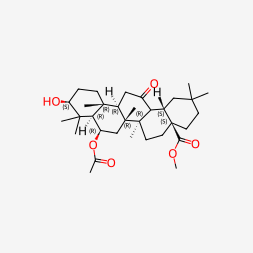 COC(=O)[C@]12CCC(C)(C)C[C@H]1C1C(=O)C[C@@H]3[C@@]4(C)CC[C@H](O)C(C)(C)[C@@H]4[C@H](OC(C)=O)C[C@@]3(C)[C@]1(C)CC2